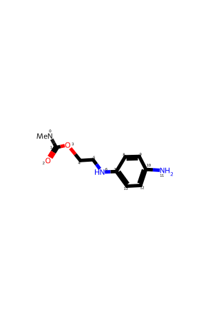 CNC(=O)OCCNc1ccc(N)cc1